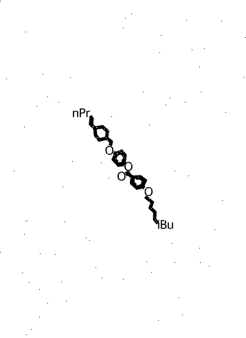 CCCC=CC1CCC(COc2ccc(OC(=O)c3ccc(OCCCCCC(C)CC)cc3)cc2)CC1